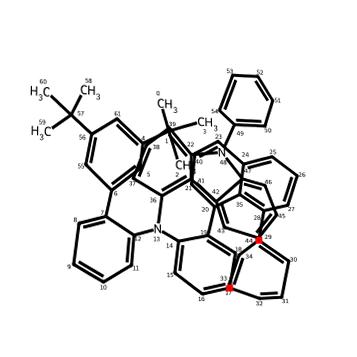 CC(C)(C)c1cc(-c2ccccc2N(c2ccccc2-c2cccc3cccc(-c4ccccc4)c23)c2cccc3c2c2ccccc2n3-c2ccccc2)cc(C(C)(C)C)c1